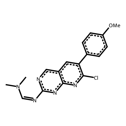 COc1ccc(-c2cc3cnc(/N=C\N(C)C)nc3nc2Cl)cc1